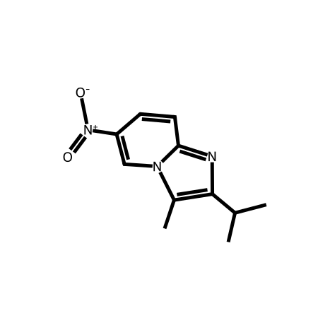 Cc1c(C(C)C)nc2ccc([N+](=O)[O-])cn12